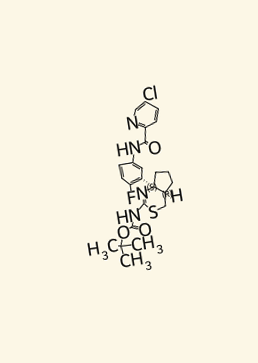 CC(C)(C)OC(=O)NC1=N[C@@]2(c3cc(NC(=O)c4ccc(Cl)cn4)ccc3F)CCC[C@H]2CS1